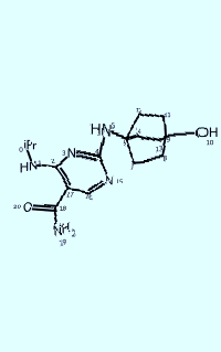 CC(C)Nc1nc(NC23CCC(O)(CC2)CC3)ncc1C(N)=O